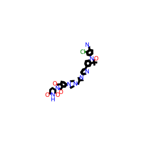 CC1(C)C(=O)N(c2ccc(C#N)c(Cl)c2)c2ccc(-c3ccc(N4CC(CN5CCN(c6ccc7c(c6)C(=O)N(C6CCC(=O)NC6=O)C7=O)CC5)C4)cn3)cc21